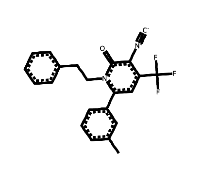 [C-]#[N+]c1c(C(F)(F)F)cc(-c2cccc(C)c2)n(CCc2ccccc2)c1=O